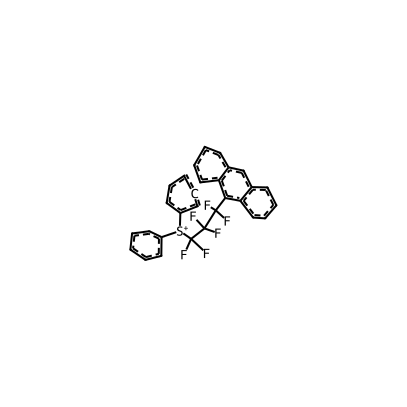 FC(F)(c1c2ccccc2cc2ccccc12)C(F)(F)C(F)(F)[S+](c1ccccc1)c1ccccc1